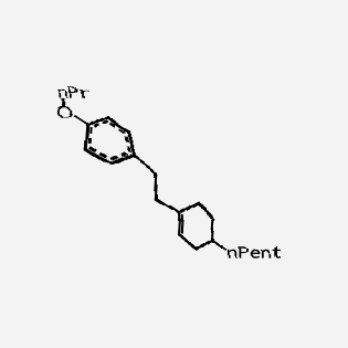 CCCCCC1CC=C(CCc2ccc(OCCC)cc2)CC1